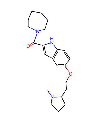 CN1CCCC1CCOc1ccc2[nH]c(C(=O)N3CCCCCC3)cc2c1